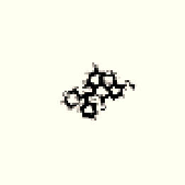 COc1ccc(C(N)=O)c(-c2c(Cl)c(F)cc3c2CC(c2ccccc2)(C2COCCN2)O3)c1F